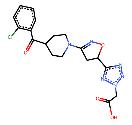 O=C(O)Cn1nnc(C2CC(N3CCC(C(=O)c4ccccc4Cl)CC3)=NO2)n1